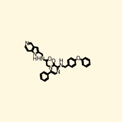 O=C(Cn1c(-c2ccccc2)cnc(NCc2ccc(Oc3ccccc3)cc2)c1=O)NCc1cc2cnccc2[nH]1